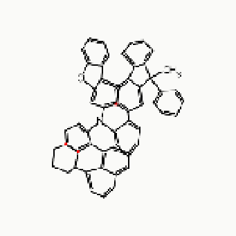 CC1(c2ccccc2)c2ccccc2-c2ccc(-c3ccccc3N(c3ccc4c(c3)oc3ccccc34)c3ccccc3-c3cccc4cccc(C5CCCCC5)c34)cc21